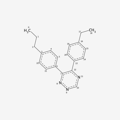 CCCc1ccc(-c2nncnc2-c2ccc(CC)cc2)cc1